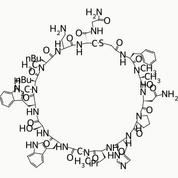 CCCC[C@H]1C(=O)N(C)[C@@H](CCCC)C(=O)NC(CCN)C(=O)N[C@H](C(=O)NCC(N)=O)CSCC(=O)N[C@@H](Cc2ccccc2)C(=O)N(C)[C@@H](C)C(=O)N[C@@H](CC(N)=O)C(=O)N2CCC[C@H]2C(=O)N[C@@H](Cc2cnc[nH]2)C(=O)N[C@@H](CC(C)C)C(=O)N(C)CC(=O)N[C@@H](Cc2c[nH]c3ccccc23)C(=O)N[C@@H](CO)C(=O)N[C@@H](Cc2c[nH]c3ccccc23)C(=O)N1C